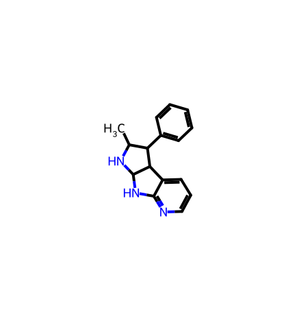 CC1NC2Nc3ncccc3C2C1c1ccccc1